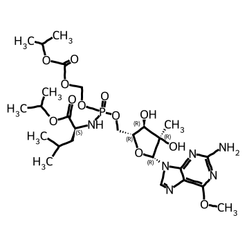 COc1nc(N)nc2c1ncn2[C@@H]1O[C@H](COP(=O)(N[C@@H](CC(C)C)C(=O)OC(C)C)OCOC(=O)OC(C)C)[C@@H](O)[C@@]1(C)O